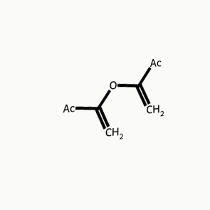 C=C(OC(=C)C(C)=O)C(C)=O